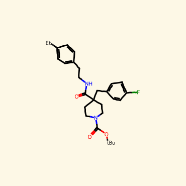 CCc1ccc(CCNC(=O)C2(Cc3ccc(F)cc3)CCN(C(=O)OC(C)(C)C)CC2)cc1